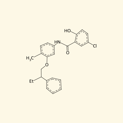 CCC(COc1cc(NC(=O)c2cc(Cl)ccc2O)ccc1C)c1ccccc1